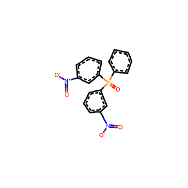 O=[N+]([O-])c1cccc(P(=O)(c2ccccc2)c2cccc([N+](=O)[O-])c2)c1